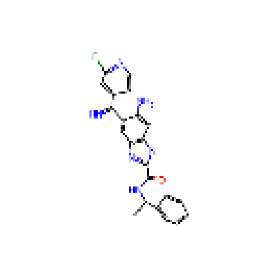 CC(NC(=O)c1nc2cc(C(=N)c3ccnc(F)c3)c(N)cc2[nH]1)c1ccccc1